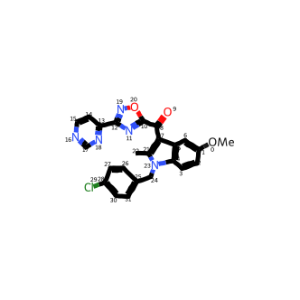 COc1ccc2c(c1)c(C(=O)c1nc(-c3ccncn3)no1)c(C)n2Cc1ccc(Cl)cc1